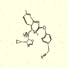 C=C(/N=C1/C=C(C)C=C/C1=C(/N)NC1OC=NC1C1CC1)Oc1ccc(CC#N)cc1